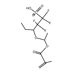 C=C(C)C(=O)OC(C)OC(CC)C(F)(F)C(F)(F)S(=O)(=O)O